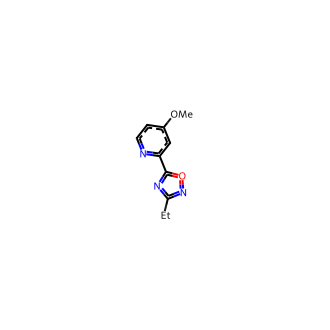 CCc1noc(-c2cc(OC)ccn2)n1